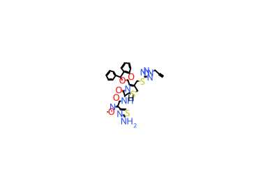 C#CCn1nnc(SCC2=C(C(=O)OC(c3ccccc3)c3ccccc3)N3C(=O)C(NC(=O)/C(=N/OC)c4csc(N)n4)[C@H]3SC2)n1